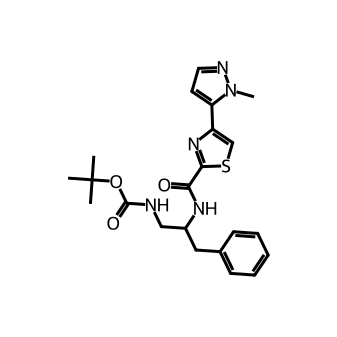 Cn1nccc1-c1csc(C(=O)NC(CNC(=O)OC(C)(C)C)Cc2ccccc2)n1